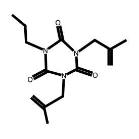 C=C(C)Cn1c(=O)n(CCC)c(=O)n(CC(=C)C)c1=O